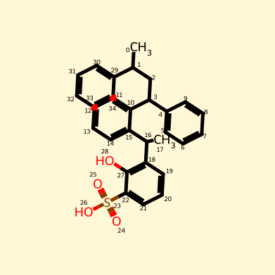 CC(CC(c1ccccc1)c1ccccc1C(C)c1cccc(S(=O)(=O)O)c1O)c1ccccc1